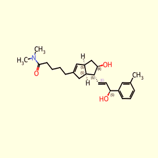 Cc1cccc([C@@H](O)/C=C/[C@@H]2[C@H]3CC(CCCCC(=O)N(C)C)=C[C@H]3C[C@H]2O)c1